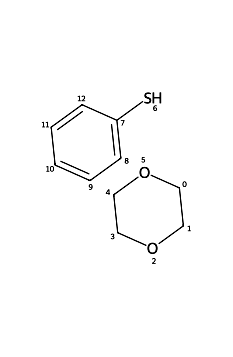 C1COCCO1.Sc1ccccc1